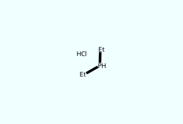 CCPCC.Cl